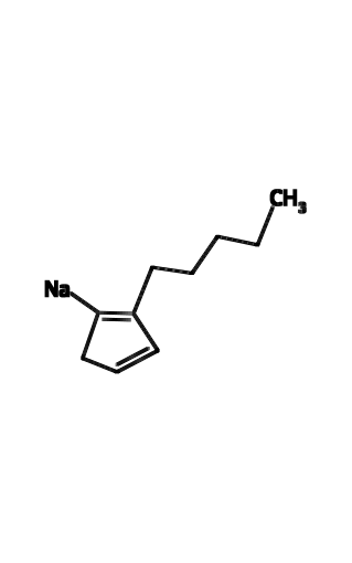 CCCCCC1=[C]([Na])CC=C1